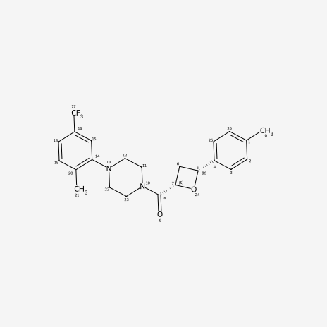 Cc1ccc([C@H]2C[C@@H](C(=O)N3CCN(c4cc(C(F)(F)F)ccc4C)CC3)O2)cc1